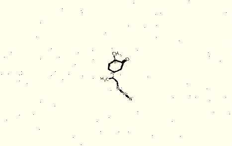 CC(CN=[N+]=[N-])[C@@H]1CC[C@@H](C)C(=O)C1